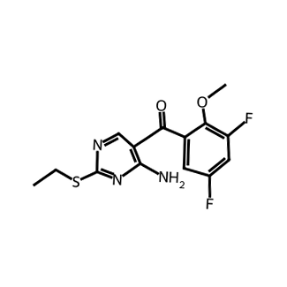 CCSc1ncc(C(=O)c2cc(F)cc(F)c2OC)c(N)n1